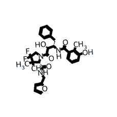 Cc1c(O)cccc1C(=O)N[C@@H](Cc1ccccc1)[C@H](O)C(=O)N1CC(F)(F)C(C)(C)[C@H]1C(=O)NCc1ccco1